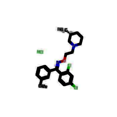 COc1cccc(/C(=N/OCCN2CCC[C@@H](C(=O)O)C2)c2ccc(Cl)cc2Cl)c1.Cl